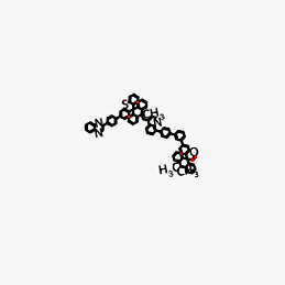 CC1(C)c2ccccc2C2(c3ccccc3Oc3cc(-c4cccc(-c5ccc(-c6cccc7c(CC8(C)c9ccccc9C9(c%10ccccc%10Sc%10cc(-c%11ccc(-c%12cnc%13ccccc%13n%12)cc%11)ccc%109)c9ccccc98)ccnc67)cc5)c4)ccc32)c2ccccc21